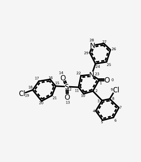 O=c1c(-c2ccccc2Cl)cc(S(=O)(=O)c2ccc(Cl)cc2)cn1-c1cccnc1